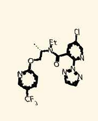 CCN(C(=O)c1cc(Cl)cnc1-n1nccn1)[C@@H](C)COc1ccc(C(F)(F)F)cn1